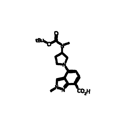 CN(C(=O)OC(C)(C)C)C1CCN(c2ccc(C(=O)O)c3nn(C)cc23)C1